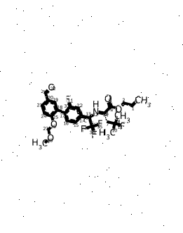 CCCOC(=O)[C@H](CC(C)(C)F)NC(c1ccc(-c2cc(C=O)ccc2OCOC)c(F)c1)C(F)(F)F